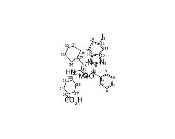 CO[C@H](c1ccccc1)c1nc2cc(F)ccc2n1C(C(=O)NC1CCC(C(=O)O)CC1)C1CCCCC1